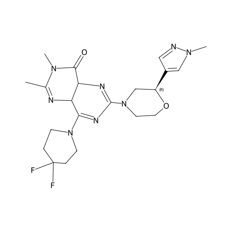 CC1=NC2C(N3CCC(F)(F)CC3)=NC(N3CCO[C@H](c4cnn(C)c4)C3)=NC2C(=O)N1C